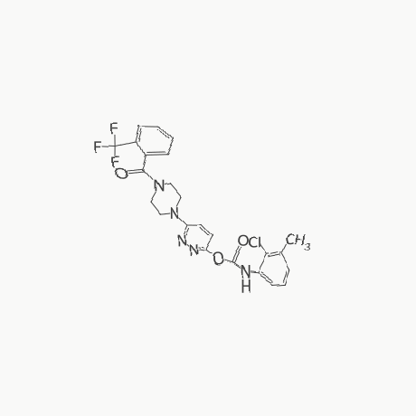 Cc1cccc(NC(=O)Oc2ccc(N3CCN(C(=O)c4ccccc4C(F)(F)F)CC3)nn2)c1Cl